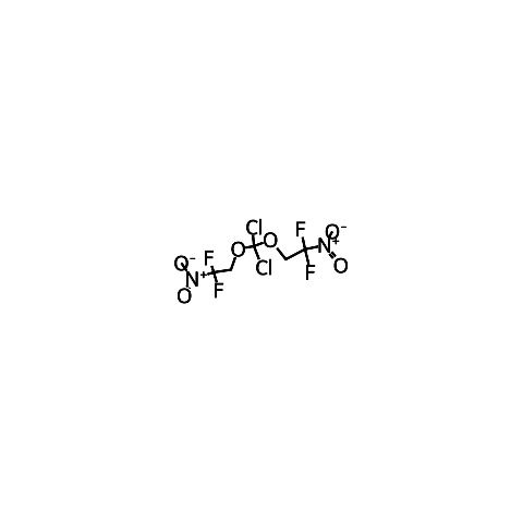 O=[N+]([O-])C(F)(F)COC(Cl)(Cl)OCC(F)(F)[N+](=O)[O-]